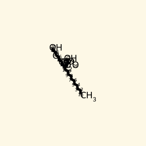 CCCCCCCCCCCCC(COCCOCCO)OS(=O)(=O)O.O